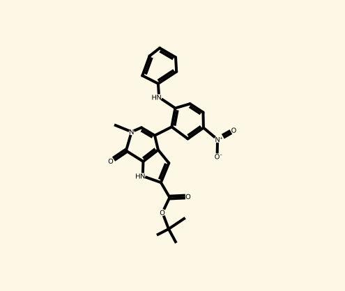 Cn1cc(-c2cc([N+](=O)[O-])ccc2Nc2ccccc2)c2cc(C(=O)OC(C)(C)C)[nH]c2c1=O